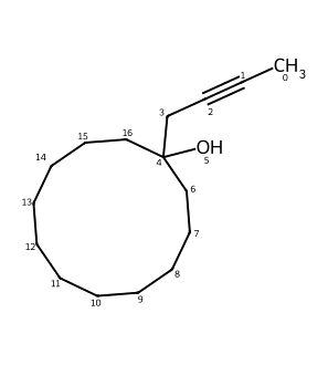 CC#CCC1(O)CCCCCCCCCCC1